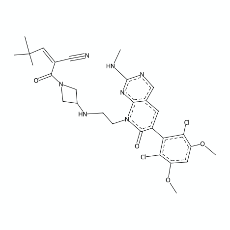 CNc1ncc2cc(-c3c(Cl)c(OC)cc(OC)c3Cl)c(=O)n(CCNC3CN(C(=O)/C(C#N)=C\C(C)(C)C)C3)c2n1